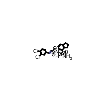 NS(=O)(=O)c1c(NS(=O)(=O)/C=C/c2ccc(Cl)c(Cl)c2)ccc2c1CCC2